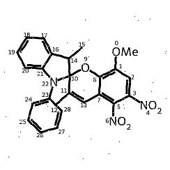 COc1cc([N+](=O)[O-])c([N+](=O)[O-])c2c1OC1(C(C)=C2)C(C)c2ccccc2N1c1ccccc1